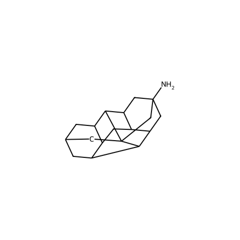 NC12CC3C4CC5C6CC7CC5C(C4C1)C(C7)(C2)C63